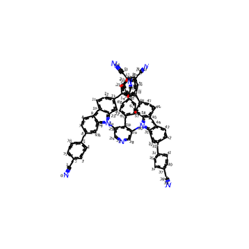 N#Cc1ccc(-c2ccc3c4ccc(-c5ccc(C#N)cc5)cc4n(-c4cncc(-n5c6cc(-c7ccc(C#N)cc7)ccc6c6ccc(-c7ccc(C#N)cc7)cc65)c4-c4ccc(C#N)cc4)c3c2)cc1